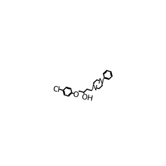 OC(CCN1CCN(c2ccccc2)CC1)COc1ccc(Cl)cc1